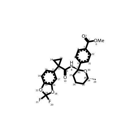 COC(=O)c1ccc([C@@]2(NC(=O)C3(c4ccc5c(c4)OC(F)(F)O5)CC3)CCC[C@@H](C)O2)cc1